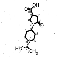 CC(C)N1CCC(N2CC(C(=O)O)CC2=O)CC1